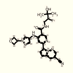 CC(C)(O)C(F)CNC(=O)c1cnc(-c2ccc3cc(C#N)cnn23)cc1Nc1cnn(C2COC2)c1